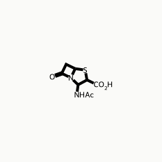 CC(=O)NC1C(C(=O)O)SC2CC(=O)N21